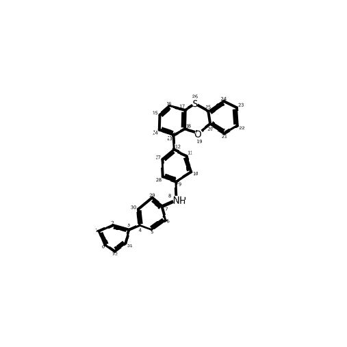 c1ccc(-c2ccc(Nc3ccc(-c4cccc5c4Oc4ccccc4S5)cc3)cc2)cc1